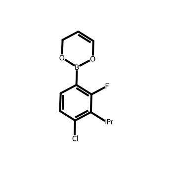 CC(C)c1c(Cl)ccc(B2OC=CCO2)c1F